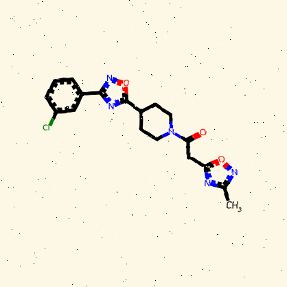 Cc1noc(CC(=O)N2CCC(c3nc(-c4cccc(Cl)c4)no3)CC2)n1